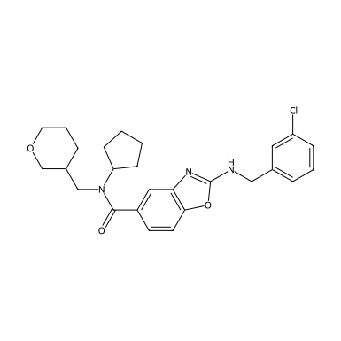 O=C(c1ccc2oc(NCc3cccc(Cl)c3)nc2c1)N(CC1CCCOC1)C1CCCC1